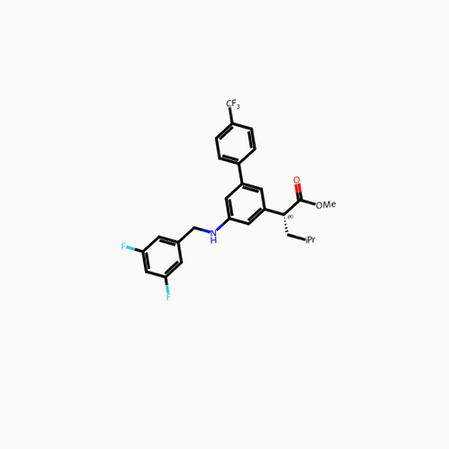 COC(=O)[C@H](CC(C)C)c1cc(NCc2cc(F)cc(F)c2)cc(-c2ccc(C(F)(F)F)cc2)c1